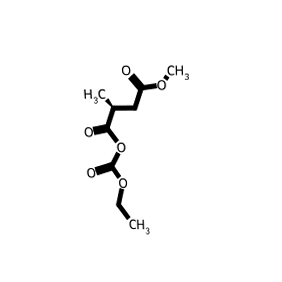 CCOC(=O)OC(=O)[C@@H](C)CC(=O)OC